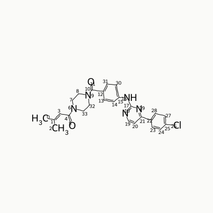 CC(C)=CC(=O)N1CCN(C(=O)c2ccc(Nc3nccc(-c4ccc(Cl)cc4)n3)cc2)CC1